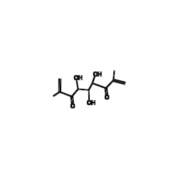 C=C(C)C(=O)C(O)C(O)C(O)C(=O)C(=C)C